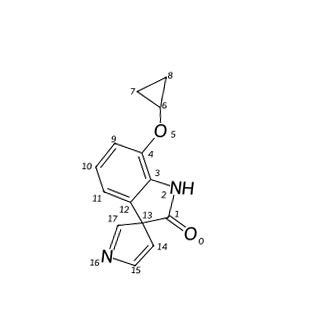 O=C1Nc2c(OC3CC3)cccc2C12C=CN=C2